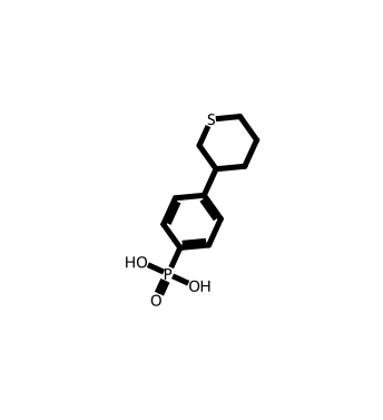 O=P(O)(O)c1ccc(C2CCCSC2)cc1